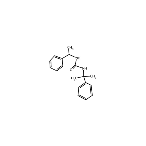 CC(NC(=O)NC(C)(C)c1ccccc1)c1ccccc1